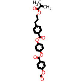 C=C(C)C(=O)OCCCc1ccc(C(=O)Oc2ccc(OC(=O)c3ccc(OC=O)cc3)cc2)cc1